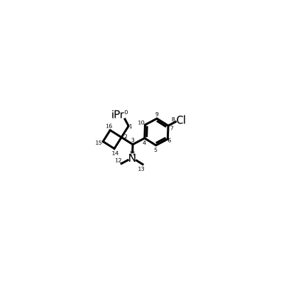 CC(C)CC1(C(c2ccc(Cl)cc2)N(C)C)CCC1